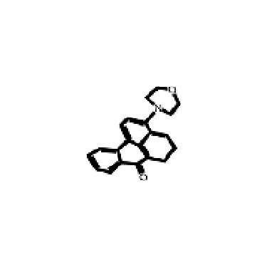 O=C1C2=c3c(ccc(N4CCOCC4)c3=CCC2)-c2ccccc21